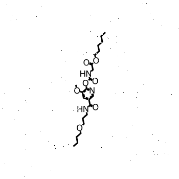 CCCCCCOC(=O)CNC(=O)Oc1ncc(C(=O)NCCCOCCCC)cc1OC